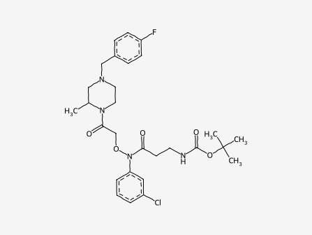 CC1CN(Cc2ccc(F)cc2)CCN1C(=O)CON(C(=O)CCNC(=O)OC(C)(C)C)c1cccc(Cl)c1